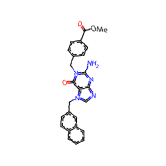 COC(=O)c1ccc(Cn2c(N)nc3ncn(Cc4ccc5ccccc5c4)c3c2=O)cc1